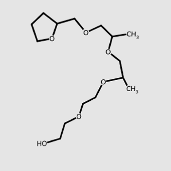 CC(COCC1CCCO1)OCC(C)OCCOCCO